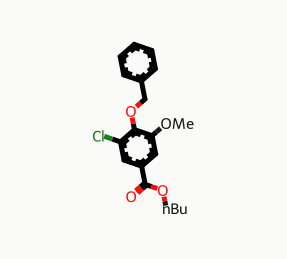 CCCCOC(=O)c1cc(Cl)c(OCc2ccccc2)c(OC)c1